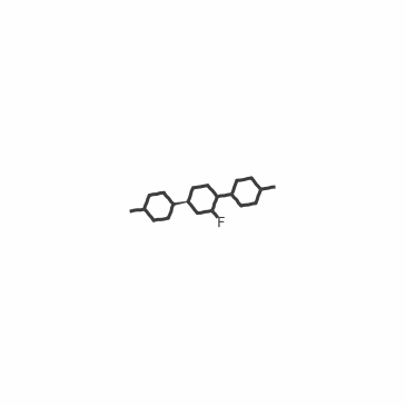 CC1CCC(C2CC[C@H](C3CCC(C)CC3)CC2F)CC1